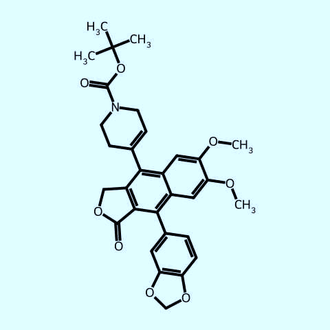 COc1cc2c(C3=CCN(C(=O)OC(C)(C)C)CC3)c3c(c(-c4ccc5c(c4)OCO5)c2cc1OC)C(=O)OC3